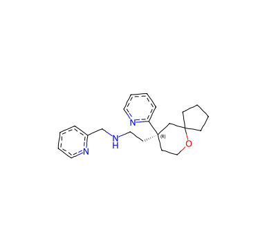 c1ccc(CNCC[C@@]2(c3ccccn3)CCOC3(CCCC3)C2)nc1